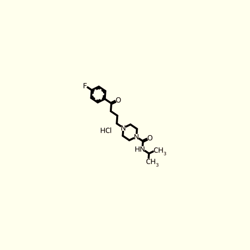 CC(C)NC(=O)N1CCN(CCCC(=O)c2ccc(F)cc2)CC1.Cl